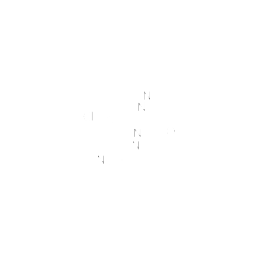 O=c1ccn(-c2ccncc2)nc1-c1ccnn1-c1ccc(Cl)cc1